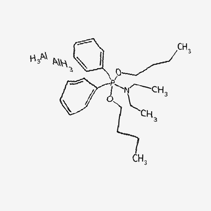 CCCCOP(OCCCC)(c1ccccc1)(c1ccccc1)N(CC)CC.[AlH3].[AlH3]